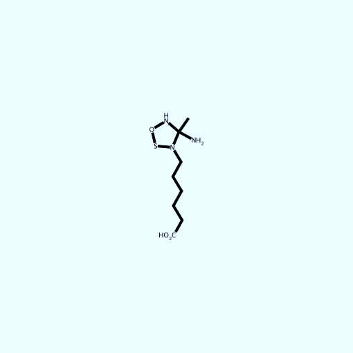 CC1(N)NOSN1CCCCCC(=O)O